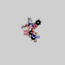 CC(C)OC(=O)[C@H](C)/N=C/P(=O)(OC[C@H]1O[C@@H](n2ccc(=O)[nH]c2=S)C(C)(O)C1O)Oc1ccccc1